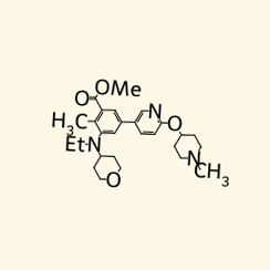 CCN(c1cc(-c2ccc(OC3CCN(C)CC3)nc2)cc(C(=O)OC)c1C)C1CCOCC1